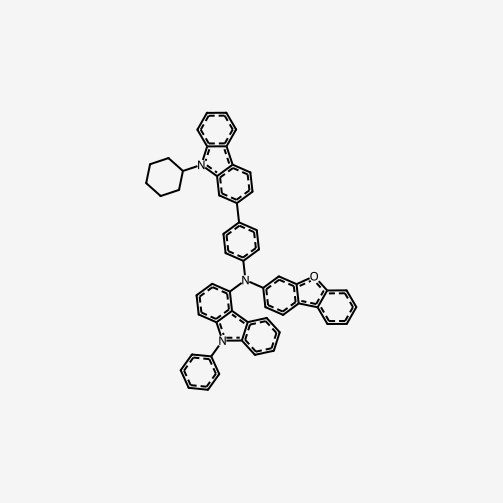 c1ccc(-n2c3ccccc3c3c(N(c4ccc(-c5ccc6c7ccccc7n(C7CCCCC7)c6c5)cc4)c4ccc5c(c4)oc4ccccc45)cccc32)cc1